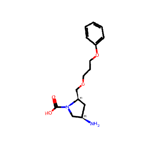 N[C@@H]1C[C@H](COCCCOc2ccccc2)N(C(=O)O)C1